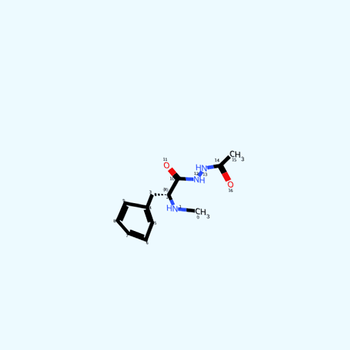 CN[C@H](Cc1ccccc1)C(=O)NNC(C)=O